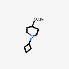 CCOC(=O)C1CCN(C2CCC2)CC1